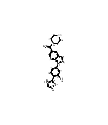 O=C(c1cnc2c(cnn2-c2ccc(-c3nnc[nH]3)c(Cl)c2)c1)N1CCSCC1